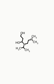 CC(C)N(CCN(C)C)C(O)CCO